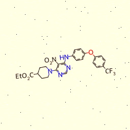 CCOC(=O)C1CCN(c2ncnc(Nc3ccc(Oc4ccc(C(F)(F)F)cc4)cc3)c2[N+](=O)[O-])CC1